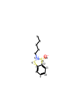 CCCCCN1Sc2ccccc2[S+]1[O-]